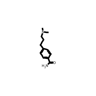 CN(C)CCCc1ccc(C(N)=O)cc1